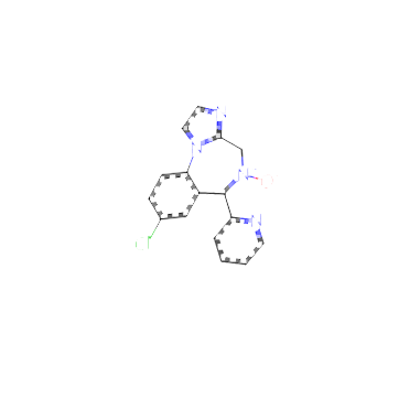 [O-][N+]1=C(c2ccccn2)c2cc(Cl)ccc2-n2ccnc2C1